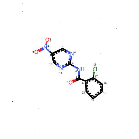 O=C(Nc1ncc([N+](=O)[O-])cn1)c1ccccc1Cl